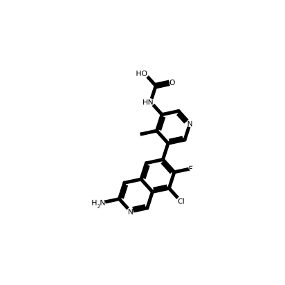 Cc1c(NC(=O)O)cncc1-c1cc2cc(N)ncc2c(Cl)c1F